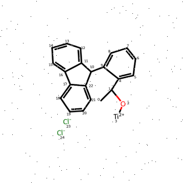 CC([O][Ti+2])c1ccccc1C1c2ccccc2-c2ccccc21.[Cl-].[Cl-]